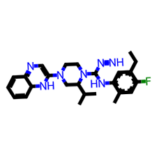 CCc1cc(NC(N=N)N2CCN(C3=CN=C4C=CC=CC4N3)CC2C(C)C)c(C)cc1F